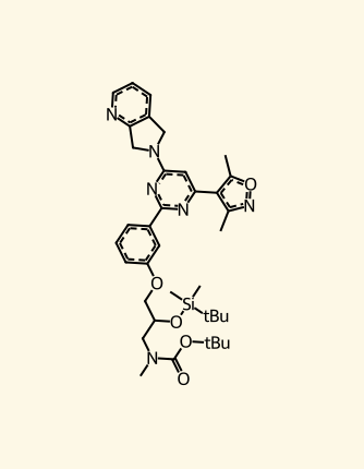 Cc1noc(C)c1-c1cc(N2Cc3cccnc3C2)nc(-c2cccc(OCC(CN(C)C(=O)OC(C)(C)C)O[Si](C)(C)C(C)(C)C)c2)n1